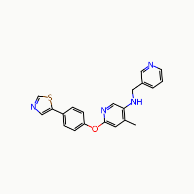 Cc1cc(Oc2ccc(-c3cncs3)cc2)ncc1NCc1cccnc1